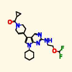 O=C(C1CC1)N1CC=C(c2cn(C3CCCCC3)c3nc(NCCOC(F)F)ncc23)CC1